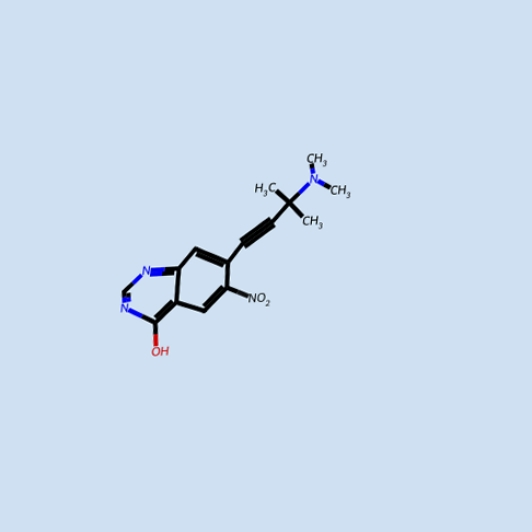 CN(C)C(C)(C)C#Cc1cc2ncnc(O)c2cc1[N+](=O)[O-]